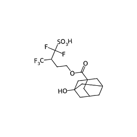 O=C(OCCC(C(F)(F)F)C(F)(F)S(=O)(=O)O)C12CC3CC(CC(O)(C3)C1)C2